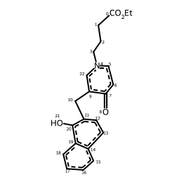 CCOC(=O)CCCn1ccc(=O)c(Cc2ccc3ccccc3c2O)c1